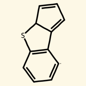 [c]1cccc2c1C1=CC=CC1S2